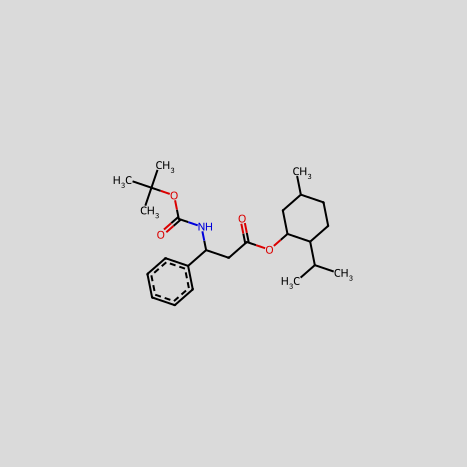 CC1CCC(C(C)C)C(OC(=O)CC(NC(=O)OC(C)(C)C)c2ccccc2)C1